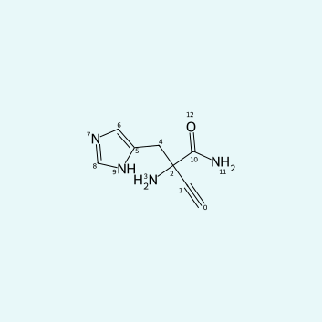 C#CC(N)(Cc1cnc[nH]1)C(N)=O